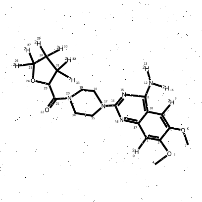 [2H]c1c(OC)c(OC)c([2H])c2c(N([2H])[2H])nc(N3CCN(C(=O)C4OC([2H])([2H])C([2H])([2H])C4([2H])[2H])CC3)nc12